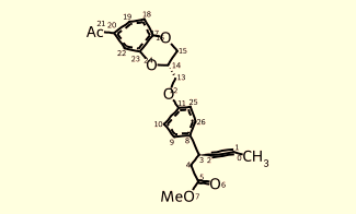 CC#C[C@@H](CC(=O)OC)c1ccc(OC[C@H]2COc3ccc(C(C)=O)cc3O2)cc1